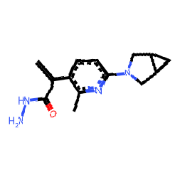 C=C(C(=O)NN)c1ccc(N2CC3CC3C2)nc1C